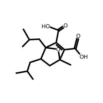 CC(C)CC1CC2(C)OC1(CC(C)C)C(C(=O)O)=C2C(=O)O